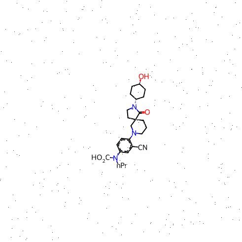 CCCN(C(=O)O)c1ccc(N2CCC[C@]3(CCN([C@H]4CC[C@H](O)CC4)C3=O)C2)c(C#N)c1